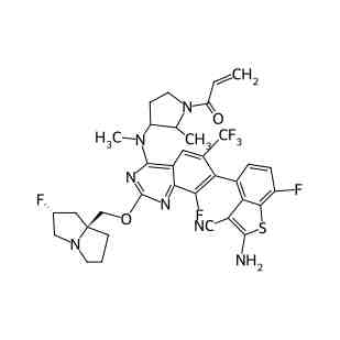 C=CC(=O)N1CCC(N(C)c2nc(OC[C@@]34CCCN3C[C@H](F)C4)nc3c(F)c(-c4ccc(F)c5sc(N)c(C#N)c45)c(C(F)(F)F)cc23)C1C